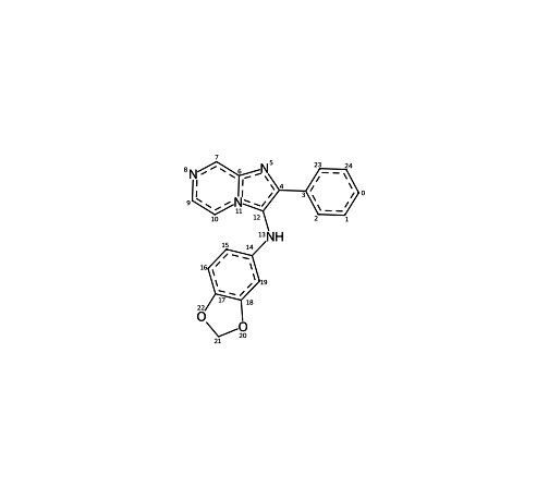 c1ccc(-c2nc3cnccn3c2Nc2ccc3c(c2)OCO3)cc1